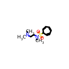 CN(C)CCN(C)S(=O)(=O)C1C#CC=CC=C1